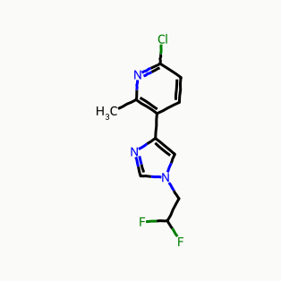 Cc1nc(Cl)ccc1-c1cn(CC(F)F)cn1